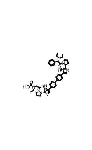 CCN(CC)[C@@H](C(=O)N1CCC[C@H]1c1ncc(-c2ccc(-c3ccc(-c4cnc([C@@H]5CCCN5C(=O)[C@@H](C)N(CC)C(=O)O)[nH]4)cc3)cc2)[nH]1)c1ccccc1